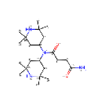 CC1(C)CC(N(C(=O)CCC(N)=O)C2CC(C)(C)NC(C)(C)C2)CC(C)(C)N1